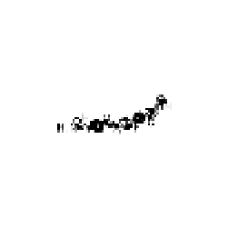 CC(=O)NC[C@H]1CN(c2ccc(N3CCN(C(=O)CCC(=O)c4ccc(CNCC(N)=O)cc4)CC3)c(F)c2)C(=O)O1